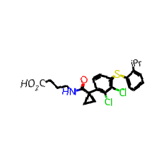 CC(C)c1ccccc1Sc1ccc(C2(C(=O)NCCCC(=O)O)CC2)c(Cl)c1Cl